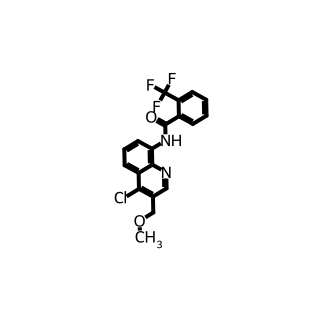 COCc1cnc2c(NC(=O)c3ccccc3C(F)(F)F)cccc2c1Cl